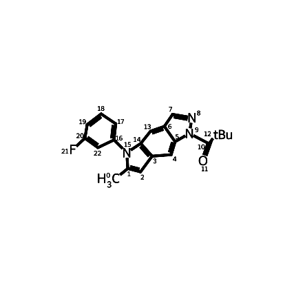 Cc1cc2cc3c(cnn3C(=O)C(C)(C)C)cc2n1-c1cccc(F)c1